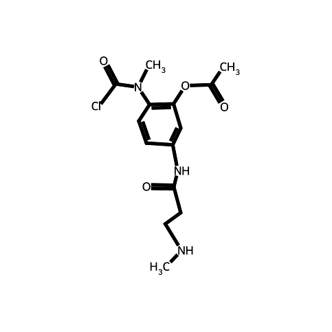 CNCCC(=O)Nc1ccc(N(C)C(=O)Cl)c(OC(C)=O)c1